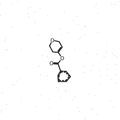 O=C(OC1=CCOCC1)c1ccccc1